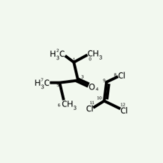 CC(C)C(=O)C(C)C.ClC=C(Cl)Cl